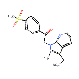 Cc1c(CC(=O)O)c2cccnc2n1CC(=O)c1ccc(S(C)(=O)=O)cc1